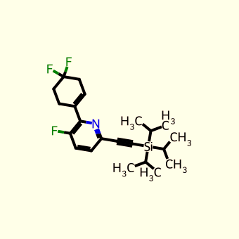 CC(C)[Si](C#Cc1ccc(F)c(C2=CCC(F)(F)CC2)n1)(C(C)C)C(C)C